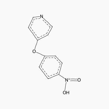 O=[N+](O)c1ccc(Oc2ccncc2)cc1